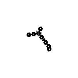 CC(C)(c1ccc(-c2ccc3c(c2)C=CCC3)cc1)c1ccc(-c2nc(C3=CCCC=C3)nc(-c3ccc(-c4ccccc4)cc3)n2)cc1